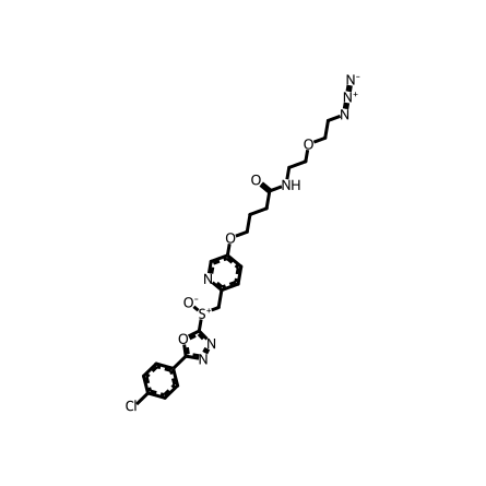 [N-]=[N+]=NCCOCCNC(=O)CCCOc1ccc(C[S+]([O-])c2nnc(-c3ccc(Cl)cc3)o2)nc1